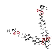 C=CC(=O)OCCCC1CCC(CCc2ccc(C(=O)O[C@@H]3CCCC[C@H]3OC(=O)c3ccc(CCC4CCC(CCCOC(=O)C=C)CC4)cc3)cc2)CC1